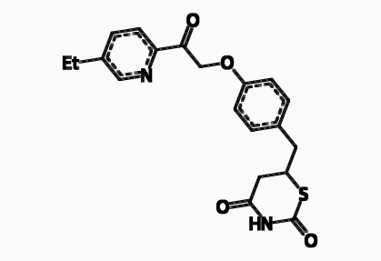 CCc1ccc(C(=O)COc2ccc(CC3CC(=O)NC(=O)S3)cc2)nc1